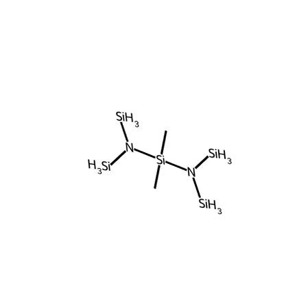 C[Si](C)(N([SiH3])[SiH3])N([SiH3])[SiH3]